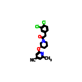 Cc1cc(C#N)cc(O[C@H]2CCCN(C(=O)Cc3ccc(Cl)c(Cl)c3)C2)n1